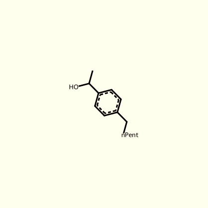 CCCCCCc1ccc(C(C)O)cc1